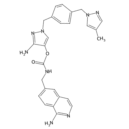 Cc1cnn(Cc2ccc(Cn3cc(OC(=O)NCc4ccc5c(N)nccc5c4)c(N)n3)cc2)c1